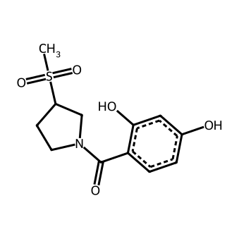 CS(=O)(=O)C1CCN(C(=O)c2ccc(O)cc2O)C1